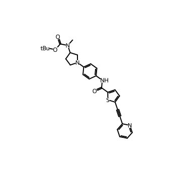 CN(C(=O)OC(C)(C)C)C1CCN(c2ccc(NC(=O)c3ccc(C#Cc4ccccn4)s3)cc2)C1